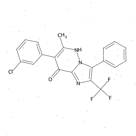 Cc1[nH]n2c(-c3ccccc3)c(C(F)(F)F)nc2c(=O)c1-c1cccc(Cl)c1